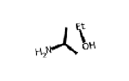 CC(C)N.CCO